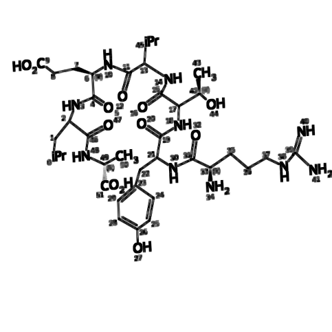 CC(C)CC(NC(=O)[C@@H](CCC(=O)O)NC(=O)C(NC(=O)C(NC(=O)C(Cc1ccc(O)cc1)NC(=O)[C@H](N)CCCNC(=N)N)[C@@H](C)O)C(C)C)C(=O)N[C@H](C)C(=O)O